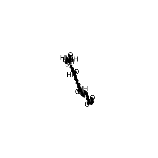 O=C(CCCC[C@@H]1SC[C@@H]2NC(=O)N[C@@H]21)NCCCCCCNC(=O)N1CCN(CCN2C(=O)C=CC2=O)CC1